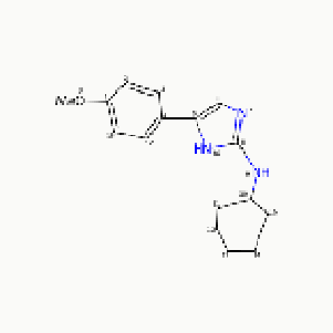 COc1ccc(-c2cnc(NC3CCCCC3)[nH]2)cc1